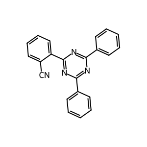 N#Cc1ccccc1-c1nc(-c2ccccc2)nc(-c2ccccc2)n1